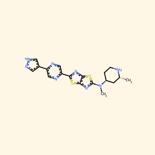 C[C@@H]1C[C@@H](N(C)c2nc3sc(-c4cnc(-c5cn[nH]c5)cn4)nc3s2)CCN1